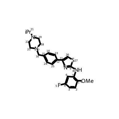 COc1ccc(F)cc1Nc1nc(-c2ccc(CN3CCN(C(C)C)CC3)cc2)cs1